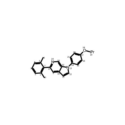 Cc1cccc(C)c1-c1cc2ccn(-c3ccc(OC(C)C)cc3)c2cn1